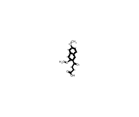 COc1ccc2cc(C(=O)CCC(=O)O)c(OC)cc2c1